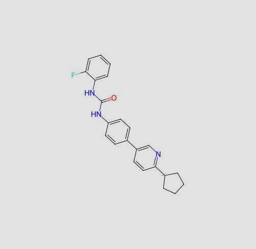 O=C(Nc1ccc(-c2ccc([C]3CCCC3)nc2)cc1)Nc1ccccc1F